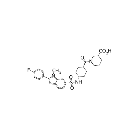 Cn1c(-c2ccc(F)cc2)cc2ccc(S(=O)(=O)N[C@H]3CC[C@H](C(=O)N4CCCC(C(=O)O)C4)CC3)cc21